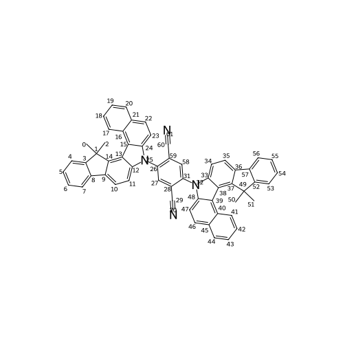 CC1(C)c2ccccc2-c2ccc3c(c21)c1c2ccccc2ccc1n3-c1cc(C#N)c(-n2c3ccc4c(c3c3c5ccccc5ccc32)C(C)(C)c2ccccc2-4)cc1C#N